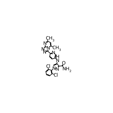 Cc1cc(C)n2c(-c3ccc(Nc4cn(-c5c(Cl)cccc5Cl)nc4C(N)=O)cn3)nnc2n1